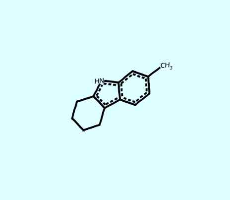 Cc1ccc2c3c([nH]c2c1)CC[C]C3